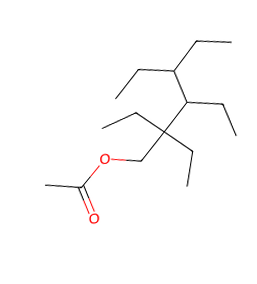 CCC(CC)C(CC)C(CC)(CC)COC(C)=O